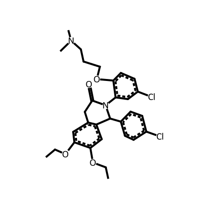 CCOc1cc2c(cc1OCC)C(c1ccc(Cl)cc1)N(c1cc(Cl)ccc1OCCCN(C)C)C(=O)C2